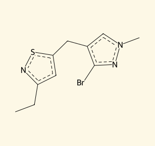 CCc1cc(Cc2cn(C)nc2Br)sn1